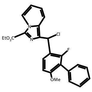 CCOC(=O)c1nc(C(Cl)c2ccc(OC)c(-c3ccccc3)c2F)c2ccccn12